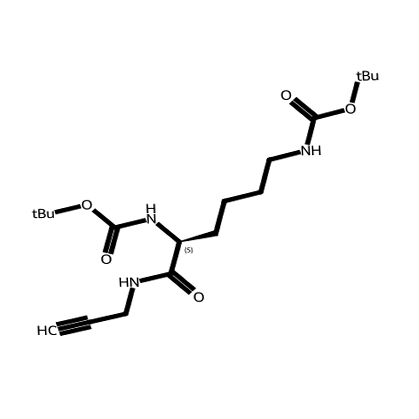 C#CCNC(=O)[C@H](CCCCNC(=O)OC(C)(C)C)NC(=O)OC(C)(C)C